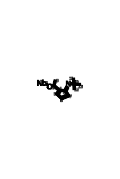 CC([O][Nb])C1=CC=CC1=NC(C)(C)C